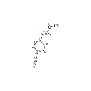 N#Cc1ccc(/C=N/OCl)cc1